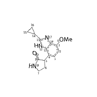 COc1ccc(C2CCNC2=O)c2[nH]c(C3CC3)nc12